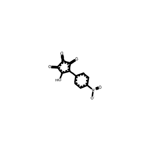 O=c1c(O)c(-c2ccc([N+](=O)[O-])cc2)c(=O)c1=O